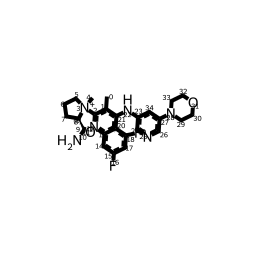 Cc1c([N+]2(C)CCC[C@@H]2C(N)=O)nc2cc(F)cc(F)c2c1Nc1cncc(N2CCOCC2)c1